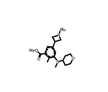 COC(=O)c1cc(C2CN(C(C)(C)C)C2)cc(N(C)C2CCOCC2)c1C